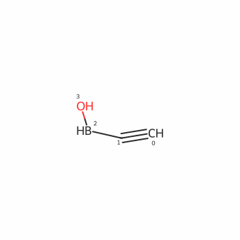 C#CBO